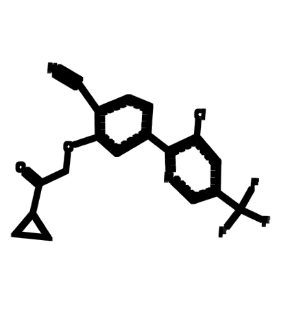 N#Cc1ccc(-c2ncc(C(F)(F)F)cc2Cl)cc1OCC(=O)C1CC1